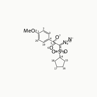 COc1ccc(S(=O)(=O)C(=[N+]=[N-])S(=O)(=O)C2CCCC2)cc1